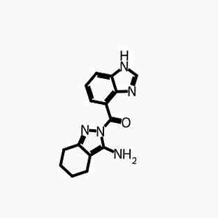 Nc1c2c(nn1C(=O)c1cccc3[nH]cnc13)CCCC2